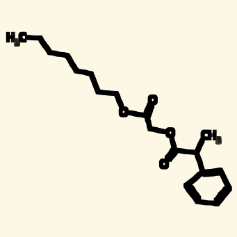 CCCCCCCCOC(=O)COC(=O)C(C)c1ccccc1